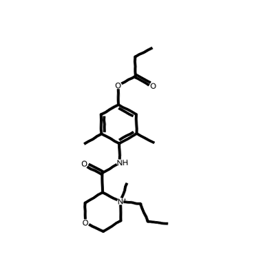 CCC[N+]1(C)CCOCC1C(=O)Nc1c(C)cc(OC(=O)CC)cc1C